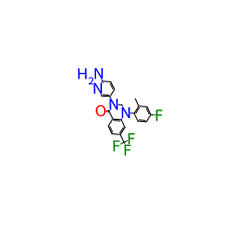 Cc1cc(F)ccc1N1CN(c2ccc(N)nc2)C(=O)c2ccc(C(F)(F)F)cc21